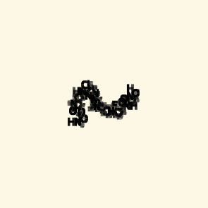 CNC(=O)COc1cc2cc(Nc3nc(N4C[C@@H](C)N(CC5CCN(c6cccc(C(=O)NC7CCC(=O)NC7=O)c6F)CC5)[C@@H](C)C4)ncc3Cl)ccc2n(C)c1=O